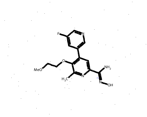 COCCOc1c(-c2cncc(F)c2)cc(/C(N)=N/O)nc1C